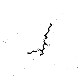 CCCCCCOC(=O)OCC(CC)OCCCC